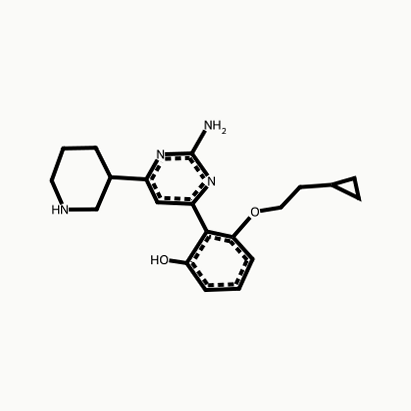 Nc1nc(-c2c(O)cccc2OCCC2CC2)cc(C2CCCNC2)n1